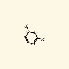 ClC1=NC=[C][C@H](Cl)N1